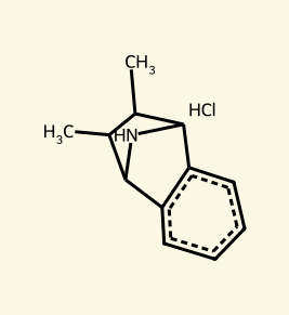 CC1C2NC(c3ccccc32)C1C.Cl